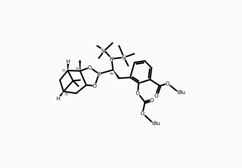 CC(C)(C)OC(=O)Oc1c(C[C@@H](B2OC3C[C@@H]4C[C@@H](C4(C)C)[C@]3(C)O2)N([Si](C)(C)C)[Si](C)(C)C)cccc1C(=O)OC(C)(C)C